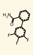 NC(=O)c1ccccc1-c1cc(F)c(F)c(F)c1